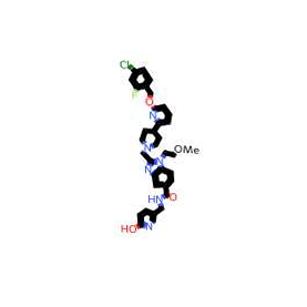 COCCn1c(CN2CCC(c3cccc(OCc4ccc(Cl)cc4F)n3)CC2)nc2cc(C(=O)NCc3ccc(O)nc3)ccc21